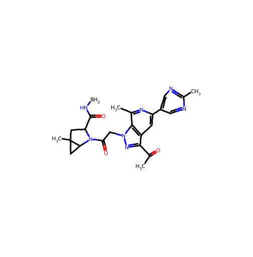 BNC(=O)C1CC2(C)CC2N1C(=O)Cn1nc(C(C)=O)c2cc(-c3cnc(C)nc3)nc(C)c21